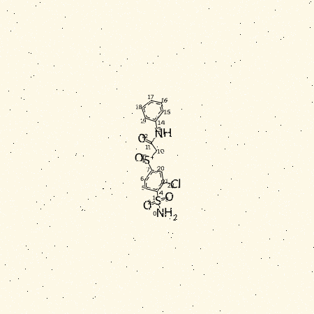 NS(=O)(=O)c1ccc([S+]([O-])CC(=O)Nc2ccccc2)cc1Cl